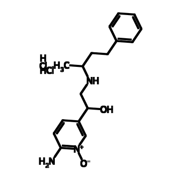 CC(CCc1ccccc1)NCC(O)c1ccc(N)[n+]([O-])c1.Cl.Cl